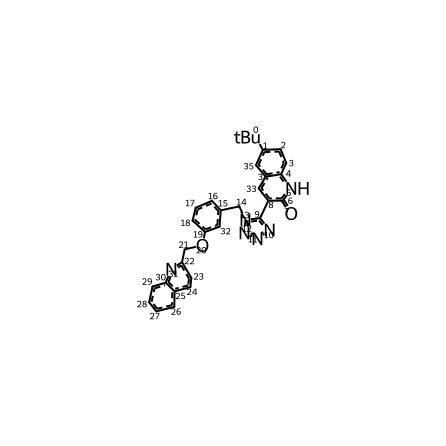 CC(C)(C)c1ccc2[nH]c(=O)c(-c3nnnn3Cc3cccc(OCc4ccc5ccccc5n4)c3)cc2c1